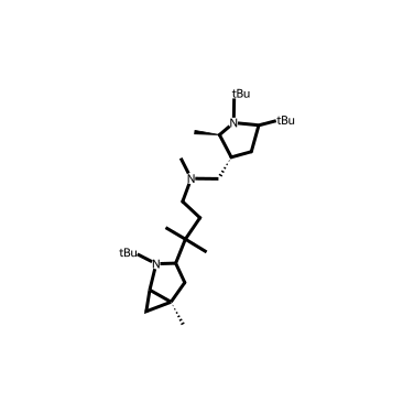 C[C@@H]1[C@@H](CN(C)CCC(C)(C)C2C[C@@]3(C)CC3N2C(C)(C)C)CC(C(C)(C)C)N1C(C)(C)C